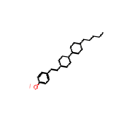 CCCCCC1CCC(C2CCC(CCc3ccc(O)cc3)CC2)CC1